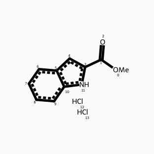 COC(=O)c1cc2ccccc2[nH]1.Cl.Cl